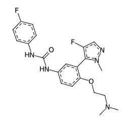 CN(C)CCOc1ccc(NC(=O)Nc2ccc(F)cc2)cc1-c1c(F)cnn1C